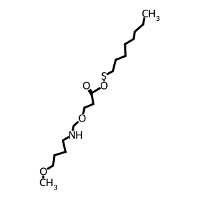 CCCCCCCCSOC(=O)CCOCNCCCCOC